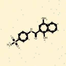 Nc1cc(C(=O)Nc2ccc(S(N)(=O)=O)cc2)c(O)c2ccccc12